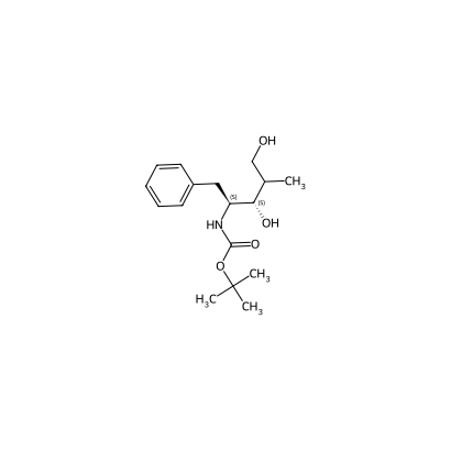 CC(CO)[C@H](O)[C@H](Cc1ccccc1)NC(=O)OC(C)(C)C